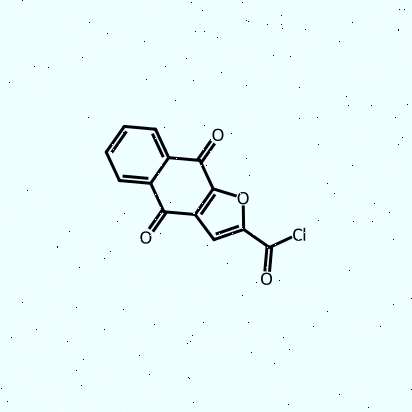 O=C(Cl)c1cc2c(o1)C(=O)c1ccccc1C2=O